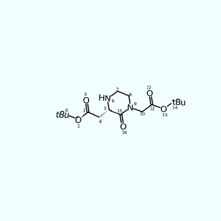 CC(C)(C)OC(=O)C[C@@H]1NCCN(CC(=O)OC(C)(C)C)C1=O